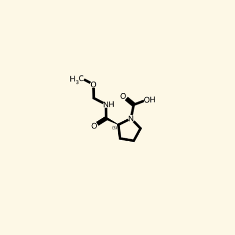 COCNC(=O)[C@@H]1CCCN1C(=O)O